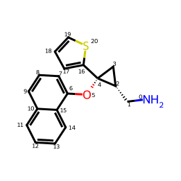 NC[C@H]1C[C@]1(Oc1cccc2ccccc12)c1cccs1